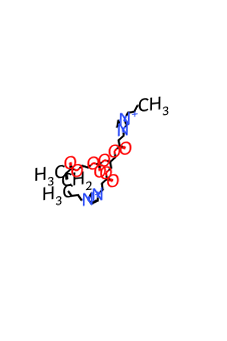 C=C(C)C(=O)OCCOC(=O)OC(COC(=O)CCn1cc[n+](CCCC)c1)COC(=O)CCn1cc[n+](CCCC)c1